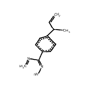 C=CC(C)c1ccc(/C(N=C)=N/CCC)cc1